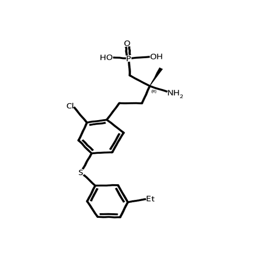 CCc1cccc(Sc2ccc(CC[C@@](C)(N)CP(=O)(O)O)c(Cl)c2)c1